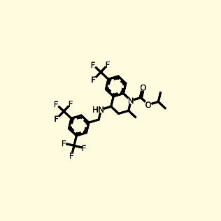 CC(C)OC(=O)N1c2ccc(C(F)(F)F)cc2C(NCc2cc(C(F)(F)F)cc(C(F)(F)F)c2)CC1C